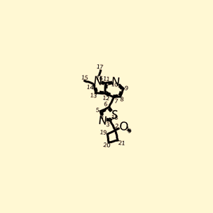 COC1(c2ncc(-c3ccnc4c3cc(C)n4C)s2)CCC1